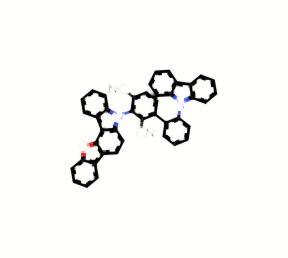 N#Cc1ccc(-c2ccccc2-n2c3ccccc3c3ccccc32)c(C#N)c1-n1c2ccccc2c2c3oc4ccccc4c3ccc21